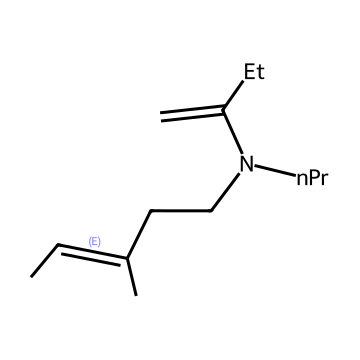 C=C(CC)N(CCC)CC/C(C)=C/C